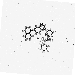 C[C@H](Nc1nccc(-n2cnc3cc(-c4cccc5ccccc45)ccc32)n1)c1ccccc1